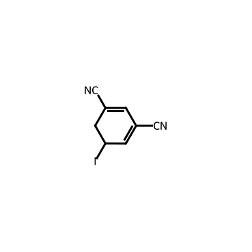 N#CC1=CC(I)CC(C#N)=C1